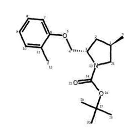 C[C@@H]1C[C@@H](COc2ccccc2I)N(C(=O)OC(C)(C)C)C1